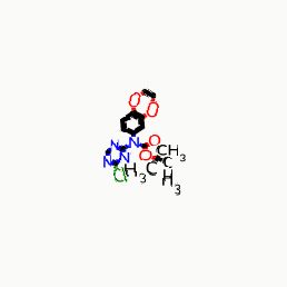 CC(C)(C)OC(=O)N(c1ccc2c(c1)OCCO2)c1ncnc(Cl)n1